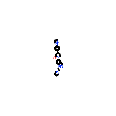 O=c1cc(-c2ccc(-n3cccn3)cc2)ccn1-c1ccc2c(cnn2CCN2CCCC2)c1